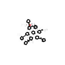 CC(C)(C)c1cccc(N(c2cccc(C(C)(C)C)c2)c2cc3c4c(c2)N(c2ccc(C(C)(C)c5ccccc5)cc2)c2ccc(C(C)(C)c5ccccc5)cc2B4c2cc(C(C)(C)c4ccccc4)ccc2N3c2ccc(C(C)(C)c3ccccc3)cc2)c1